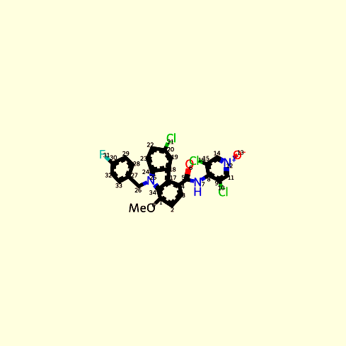 COc1ccc(C(=O)Nc2c(Cl)c[n+]([O-])cc2Cl)c2c3cc(Cl)ccc3n(Cc3ccc(F)cc3)c12